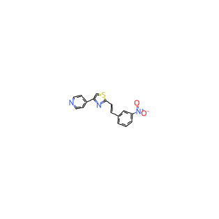 O=[N+]([O-])c1cccc(/C=C/c2nc(-c3ccncc3)cs2)c1